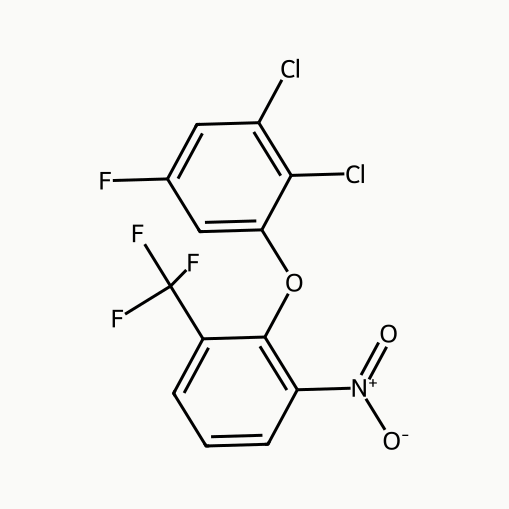 O=[N+]([O-])c1cccc(C(F)(F)F)c1Oc1cc(F)cc(Cl)c1Cl